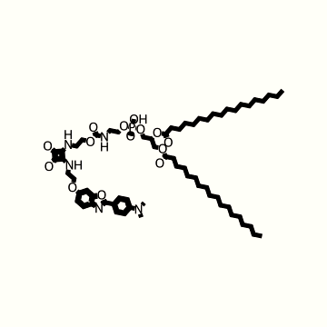 CCCCCCCCCCCCCCCCCC(=O)OCC(COP(=O)(O)OCCNC(=O)OCCNc1c(NCCOc2ccc3nc(-c4ccc(N(C)C)cc4)oc3c2)c(=O)c1=O)OC(=O)CCCCCCCCCCCCCCCCC